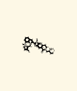 COc1cccc2cc(-c3nc4cc5c(nc4n3C)CCN(C[C@H](N)CF)C5=O)n(Cc3oncc3C)c12